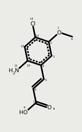 COc1cc(/C=C/C(=O)O)c(N)cc1Cl